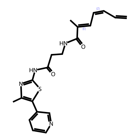 C=C/C=C\C=C(/C)C(=O)NCCC(=O)Nc1nc(C)c(-c2cccnc2)s1